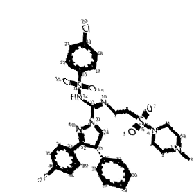 CN1CCN(S(=O)(=O)CC/N=C(/NS(=O)(=O)c2ccc(Cl)cc2)N2C[C@H](c3ccccc3)C(c3ccc(F)cc3)=N2)CC1